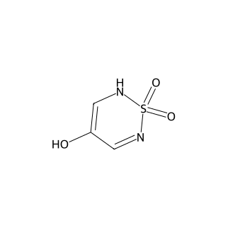 O=S1(=O)N=CC(O)=CN1